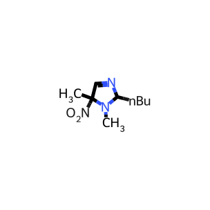 CCCCC1N=CC(C)([N+](=O)[O-])N1C